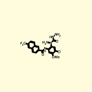 COc1cc(NC(=O)c2ccc3cc(C(F)(F)F)ccc3c2)c(N(N)C(=O)NN)cc1Cl